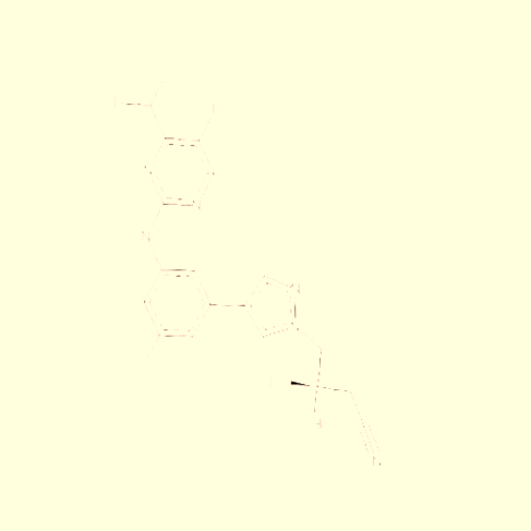 Cc1cc(Nc2ncc(F)c(C(F)F)n2)cc(-c2cnn(C[C@@](C)(O)CC#N)c2)c1